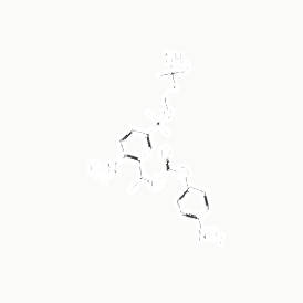 CC(OC(=O)Oc1ccc([N+](=O)[O-])cc1)c1cc(C(C)(C)OCCC(C)(C)N)ccc1[N+](=O)[O-]